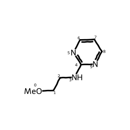 COCCNc1ncccn1